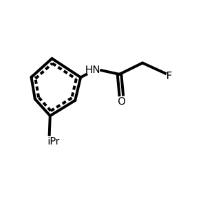 CC(C)c1cccc(NC(=O)CF)c1